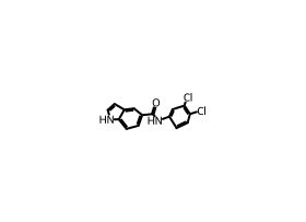 O=C(Nc1ccc(Cl)c(Cl)c1)c1ccc2[nH]ccc2c1